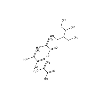 C=C(C)C(=O)O.C=C(C)C(=O)O.C=C(C)C(=O)O.CCC(CO)C(O)CO